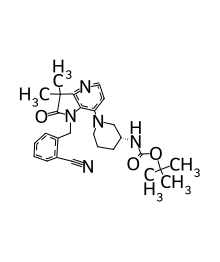 CC(C)(C)OC(=O)N[C@@H]1CCCN(c2ccnc3c2N(Cc2ccccc2C#N)C(=O)C3(C)C)C1